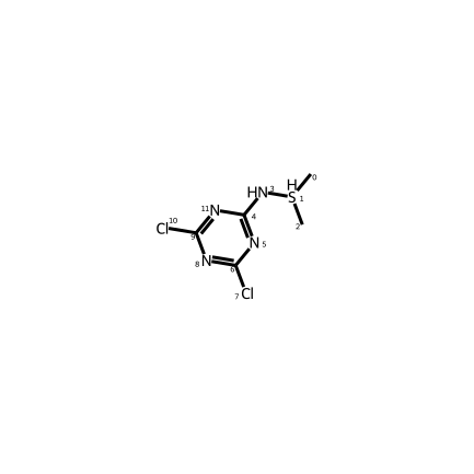 C[SH](C)Nc1nc(Cl)nc(Cl)n1